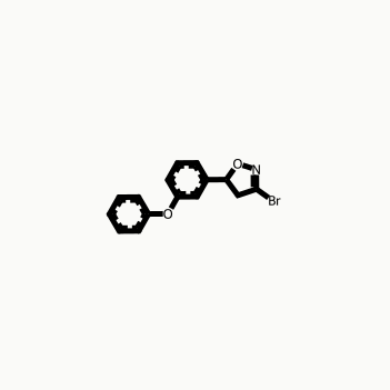 BrC1=NOC(c2cccc(Oc3ccccc3)c2)C1